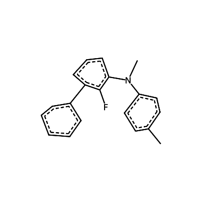 Cc1ccc(N(C)c2cccc(-c3ccccc3)c2F)cc1